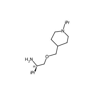 CC(C)[C@@H](N)COCC1CCN(C(C)C)CC1